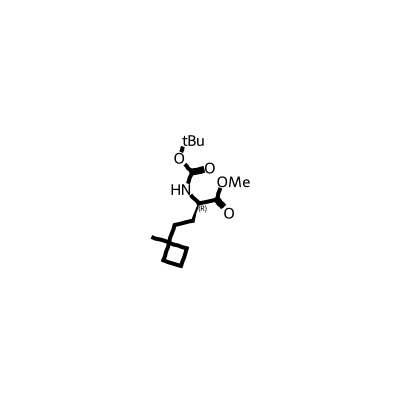 COC(=O)[C@@H](CCC1(C)CCC1)NC(=O)OC(C)(C)C